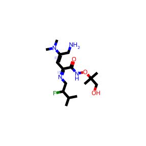 CC(C)C(F)C/N=C(/C=C(\CN)N(C)C)C(=O)NOC(C)(C)CO